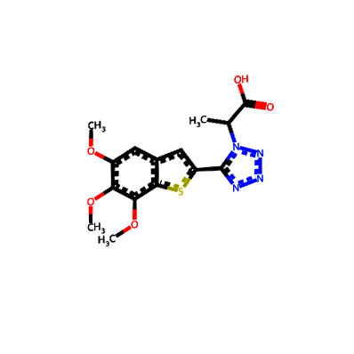 COc1cc2cc(-c3nnnn3C(C)C(=O)O)sc2c(OC)c1OC